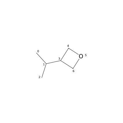 CC(C)C1COC1